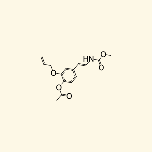 C=CCOc1cc(C=CNC(=O)OC)ccc1OC(C)=O